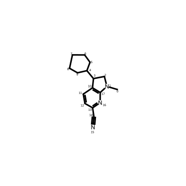 CN1CC(C2CCCCC2)c2ccc(C#N)nc21